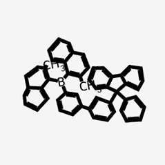 Cc1ccc2ccccc2c1B(c1cccc(-c2cccc(C3(c4ccccc4)c4ccccc4-c4ccccc43)c2)c1)c1c(C)ccc2ccccc12